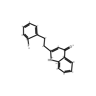 O=c1cc(CCc2ccccc2F)[nH]c2ccccc12